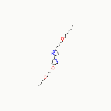 CCCCCCOCCCCc1ccc(-c2ccc(OCCCCOCCCC)cn2)nn1